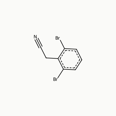 N#CCc1c(Br)cccc1Br